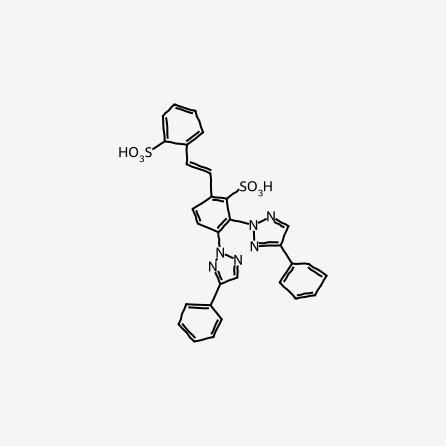 O=S(=O)(O)c1ccccc1C=Cc1ccc(-n2ncc(-c3ccccc3)n2)c(-n2ncc(-c3ccccc3)n2)c1S(=O)(=O)O